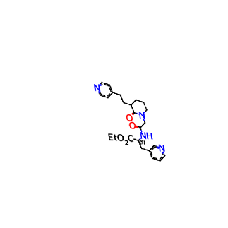 CCOC(=O)[C@H](Cc1cccnc1)NC(=O)CN1CCCC(CCc2ccncc2)C1=O